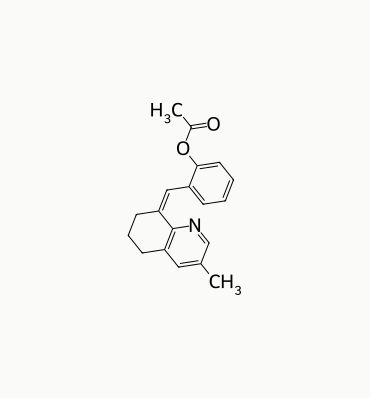 CC(=O)Oc1ccccc1/C=C1/CCCc2cc(C)cnc21